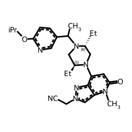 CC[C@H]1CN(C(C)c2ccc(OC(C)C)nc2)[C@H](CC)CN1c1cc(=O)n(C)c2cn(CC#N)nc12